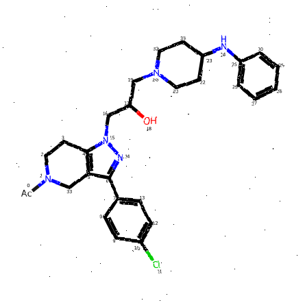 CC(=O)N1CCc2c(c(-c3ccc(Cl)cc3)nn2CC(O)CN2CCC(Nc3ccccc3)CC2)C1